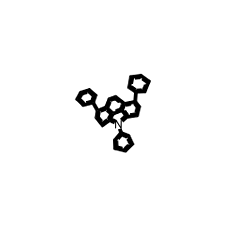 c1ccc(-c2ccc3c4c2ccc2c(-c5ccccc5)ccc(c24)n3-c2ccccc2)cc1